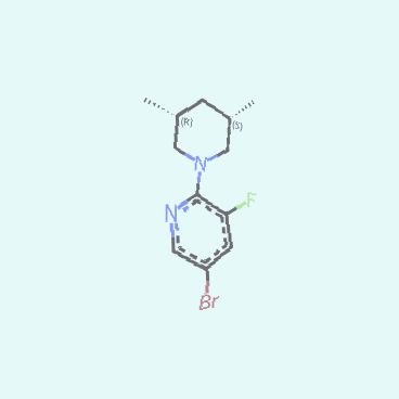 C[C@@H]1C[C@H](C)CN(c2ncc(Br)cc2F)C1